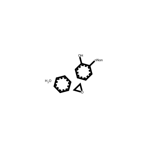 C1CO1.CCCCCCCCCc1ccccc1O.O.c1ccccc1